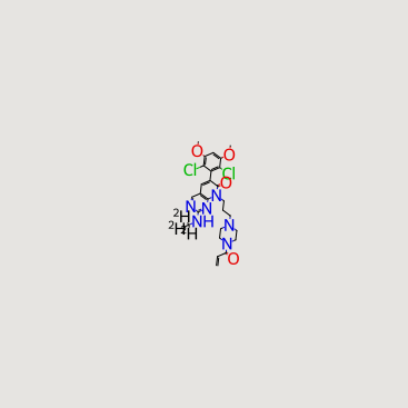 [2H]C([2H])([2H])Nc1ncc2cc(-c3c(Cl)c(OC)cc(OC)c3Cl)c(=O)n(CCCN3CCN(C(=O)C=C)CC3)c2n1